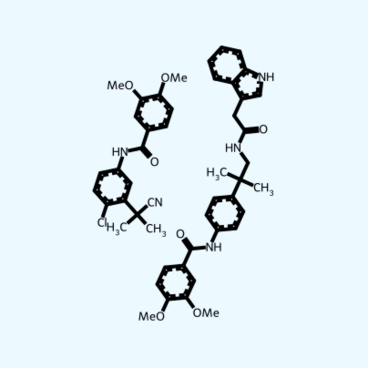 COc1ccc(C(=O)Nc2ccc(C(C)(C)CNC(=O)Cc3c[nH]c4ccccc34)cc2)cc1OC.COc1ccc(C(=O)Nc2ccc(Cl)c(C(C)(C)C#N)c2)cc1OC